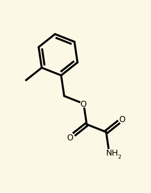 Cc1ccccc1COC(=O)C(N)=O